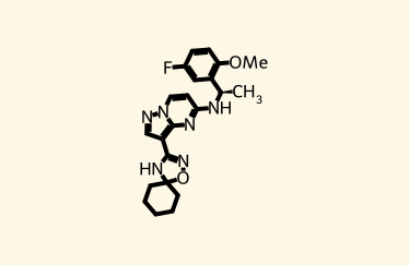 COc1ccc(F)cc1[C@@H](C)Nc1ccn2ncc(C3=NOC4(CCCCC4)N3)c2n1